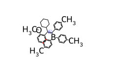 COc1ccccc1/C(=C(\B(c1ccc(C)cc1)c1ccc(C)cc1)c1ccc(C)cc1)C1CCCCC1